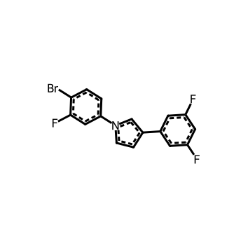 Fc1cc(F)cc(-c2ccn(-c3ccc(Br)c(F)c3)c2)c1